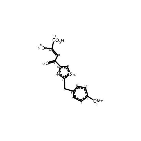 COc1ccc(Cc2nc(C(=O)C=C(O)C(=O)O)cs2)cc1